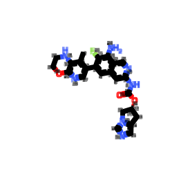 Cc1c(-c2cc3cc(NC(=O)O[C@@H]4Cc5cncn5C4)ncc3c(N)c2F)cnc2c1NCCO2